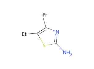 [CH2]Cc1sc(N)nc1C(C)C